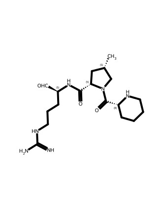 C[C@H]1C[C@@H](C(=O)N[C@H](C=O)CCCNC(=N)N)N(C(=O)[C@H]2CCCCN2)C1